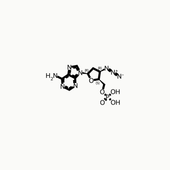 [N-]=[N+]=N[C@@H]1C[C@H](n2cnc3c(N)ncnc32)O[C@@H]1COP(=O)(O)O